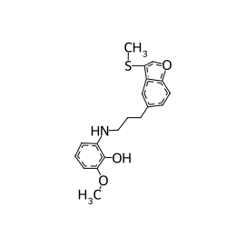 COc1cccc(NCCCc2ccc3occ(SC)c3c2)c1O